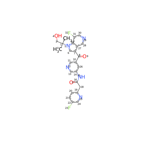 CC(C)(CO)n1cc(C(=O)c2cncc(NC(=O)Cc3ccc(F)cn3)c2)c2cncc(F)c21